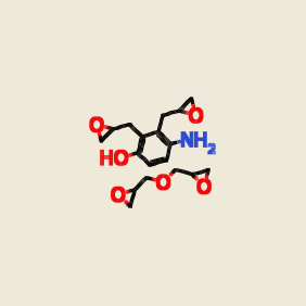 C(OCC1CO1)C1CO1.Nc1ccc(O)c(CC2CO2)c1CC1CO1